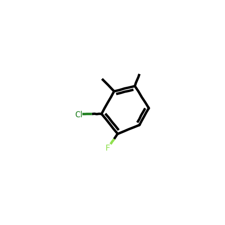 Cc1ccc(F)c(Cl)c1C